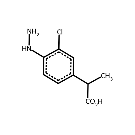 CC(C(=O)O)c1ccc(NN)c(Cl)c1